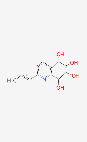 C/C=C/c1ccc2c(n1)C(O)C(O)C(O)C2O